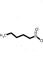 CCCCC[SiH](Cl)Cl